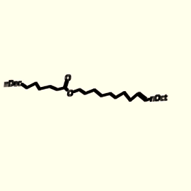 CCCCCCCC/C=C/CCCCCCCCOC(=O)CCCCCCCCCCCCCCC